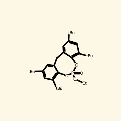 CCOP1(=O)Oc2c(cc(C(C)(C)C)cc2C(C)(C)C)Cc2cc(C(C)(C)C)cc(C(C)(C)C)c2O1